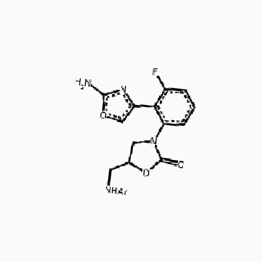 CC(=O)NCC1CN(c2cccc(F)c2-c2coc(N)n2)C(=O)O1